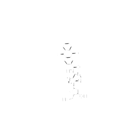 O=C(Nc1ncnc2c1ncn2[C@H]1C[C@H](O)[C@@H](CO)O1)c1ccc2c(c1)C(=O)c1ccccc1C2=O